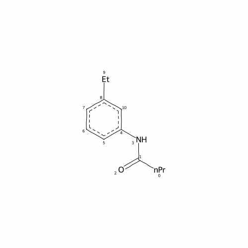 CCCC(=O)Nc1cccc(CC)c1